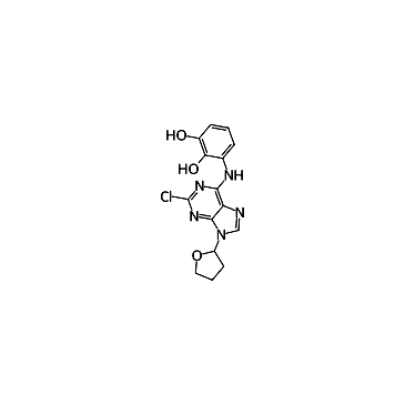 Oc1cccc(Nc2nc(Cl)nc3c2ncn3C2CCCO2)c1O